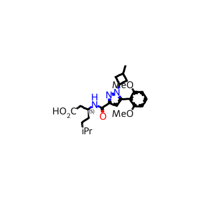 COc1cccc(OC)c1-c1cc(C(=O)N[C@@H](CCC(C)C)CC(=O)O)nn1C1CC(C)C1